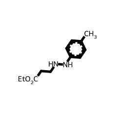 CCOC(=O)CCNNc1ccc(C)cc1